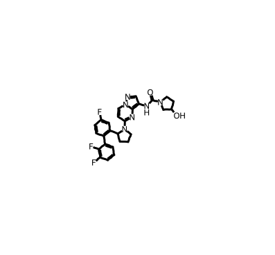 O=C(Nc1cnn2ccc(N3CCCC3c3cc(F)ccc3-c3cccc(F)c3F)nc12)N1CCC(O)C1